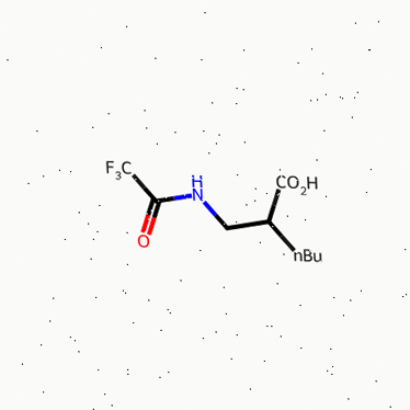 CCCCC(CNC(=O)C(F)(F)F)C(=O)O